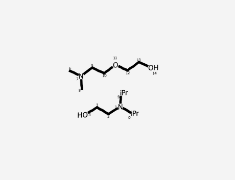 CC(C)N(CCO)C(C)C.CN(C)CCOCCO